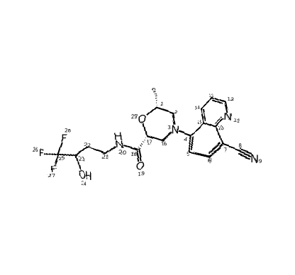 C[C@@H]1CN(c2ccc(C#N)c3ncccc23)C[C@H](C(=O)NCCC(O)C(F)(F)F)O1